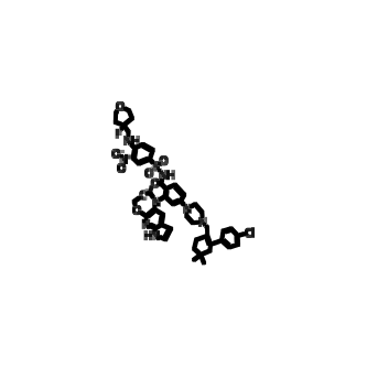 C[C@@H]1CCOc2nc3[nH]ccc3cc2N1c1cc(N2CCN(CC3=C(c4ccc(Cl)cc4)CC(C)(C)CC3)CC2)ccc1C(=O)NS(=O)(=O)c1ccc(NCC2(F)CCOCC2)c([N+](=O)[O-])c1